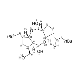 CC(C)(C)CC(O)[C@H]1CC[C@H]2C(O)O[C@H]3C(CC(C)(C)C)C[C@H](CO)[C@@H]3C(O)O[C@H]12